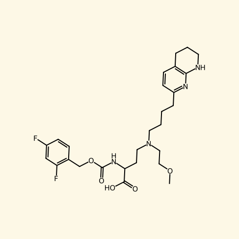 COCCN(CCCCc1ccc2c(n1)NCCC2)CCC(NC(=O)OCc1ccc(F)cc1F)C(=O)O